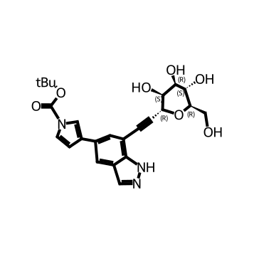 CC(C)(C)OC(=O)n1ccc(-c2cc(C#C[C@H]3O[C@H](CO)[C@@H](O)[C@H](O)[C@@H]3O)c3[nH]ncc3c2)c1